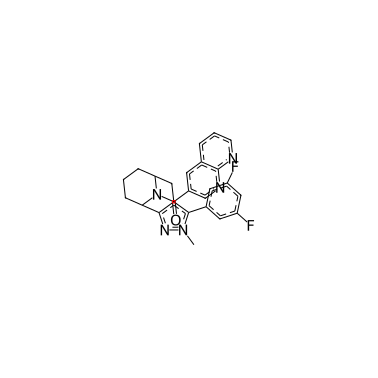 Cn1nc2c(c1-c1cc(F)cc(F)c1)CC1CCCC2N1C(=O)c1cnc2ncccc2c1